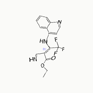 CCOC(=O)/C(C=N)=C(/Nc1ccnc2ccccc12)C(F)(F)F